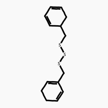 C1=CCC(CSSSCC2=CCCC=C2)C=C1